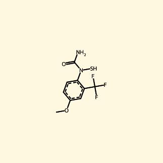 COc1ccc(N(S)C(N)=O)c(C(F)(F)F)c1